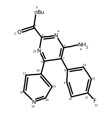 CCCCC(=O)c1nc(N)c(-c2ccc(F)cc2)c(-c2ccncc2)n1